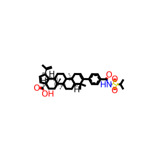 C=C(C)[C@@H]1CC[C@]2(C(=O)O)CC[C@]3(C)[C@H](CCC4[C@@]5(C)CC=C(c6ccc(C(=O)NS(=O)(=O)C(C)C)cc6)C(C)(C)[C@@H]5CC[C@]43C)[C@@H]12